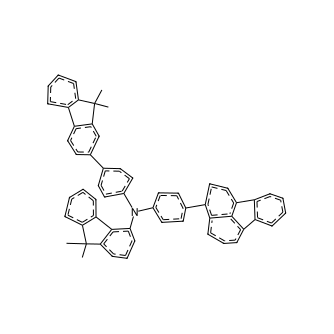 CC1(C)c2ccccc2-c2ccc(-c3ccc(N(c4ccc(-c5ccc6c7c(cccc57)-c5ccccc5-6)cc4)c4cccc5c4-c4ccccc4C5(C)C)cc3)cc21